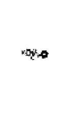 CC[N+]1(C(=O)OCc2ccccc2)CCN(I)CC1